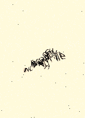 CO[C@@H](C)c1ncc(NC(=O)c2cnn(-c3ccc(C#N)n4nccc34)c2C(F)(F)F)cc1Cl